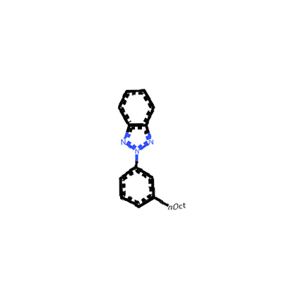 CCCCCCCCc1cccc(-n2nc3ccccc3n2)c1